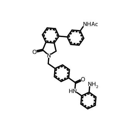 CC(=O)Nc1cccc(-c2cccc3c2CN(Cc2ccc(C(=O)Nc4ccccc4N)cc2)C3=O)c1